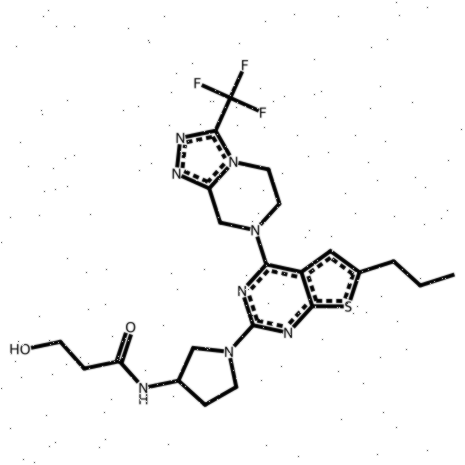 CCCc1cc2c(N3CCn4c(nnc4C(F)(F)F)C3)nc(N3CCC(NC(=O)CCO)C3)nc2s1